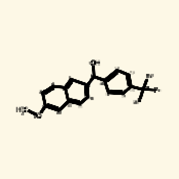 COc1ccc2cc(C(O)c3ccc(C(F)(F)F)cc3)ccc2c1